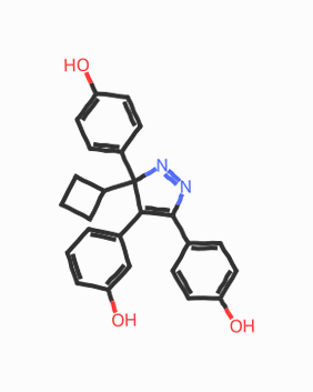 Oc1ccc(C2=C(c3cccc(O)c3)C(c3ccc(O)cc3)(C3CCC3)N=N2)cc1